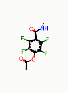 CNC(=O)c1c(F)c(F)c(OC(C)=O)c(F)c1F